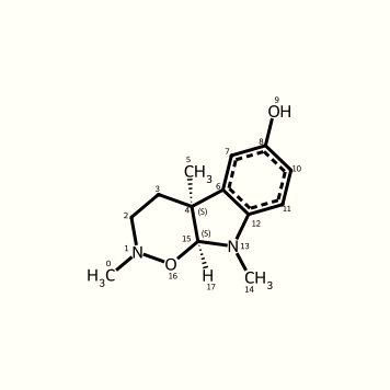 CN1CC[C@@]2(C)c3cc(O)ccc3N(C)[C@H]2O1